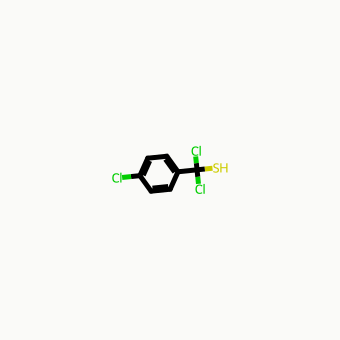 SC(Cl)(Cl)c1ccc(Cl)cc1